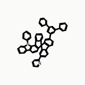 c1ccc(-c2cc(-c3ccccc3)cc(-c3ccc4c(c3)C3(c5cc(-c6ccccn6)ccc5-4)c4ccccc4-c4c3ccc3c5ccccc5n(-c5ccccc5)c43)c2)cc1